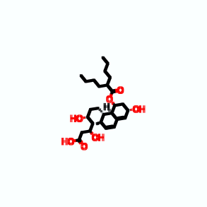 CCCCC(CCCC)C(=O)O[C@H]1C[C@H](O)C=C2C=C[C@@H](C)[C@H](CC[C@@H](O)C[C@@H](O)CC(=O)O)[C@H]21